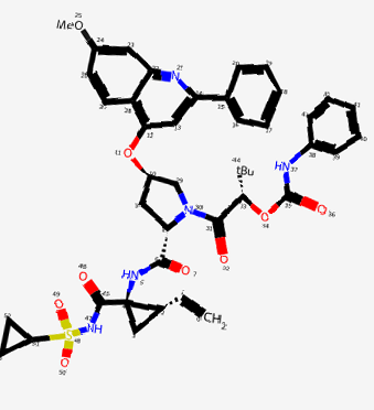 C=C[C@@H]1C[C@]1(NC(=O)[C@@H]1C[C@@H](Oc2cc(-c3ccccc3)nc3cc(OC)ccc23)CN1C(=O)[C@@H](OC(=O)Nc1ccccc1)C(C)(C)C)C(=O)NS(=O)(=O)C1CC1